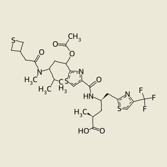 CC(=O)OC(CC(C(C)C)N(C)C(=O)CC1CSC1)c1nc(C(=O)N[C@@H](Cc2nc(C(F)(F)F)cs2)C[C@H](C)C(=O)O)cs1